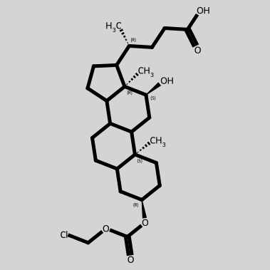 C[C@H](CCC(=O)O)C1CCC2C3CCC4C[C@H](OC(=O)OCCl)CC[C@]4(C)C3C[C@H](O)[C@@]21C